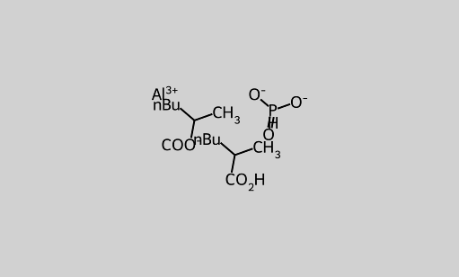 CCCCC(C)C(=O)O.CCCCC(C)C(=O)[O-].O=[PH]([O-])[O-].[Al+3]